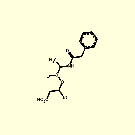 CCC(CC(=O)O)OB(O)C(C)NC(=O)Cc1ccccc1